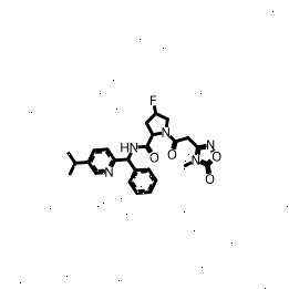 CC(C)c1ccc(C(NC(=O)C2CC(F)CN2C(=O)Cc2noc(=O)n2C)c2ccccc2)nc1